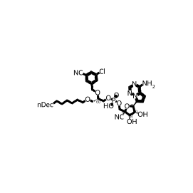 CCCCCCCCCCCCCCCCOC[C@@H](COP(=O)(O)OC[C@@]1(C#N)O[C@@H](c2ccc3c(N)ncnn23)[C@H](O)[C@@H]1O)OCc1cc(Cl)cc(C#N)c1